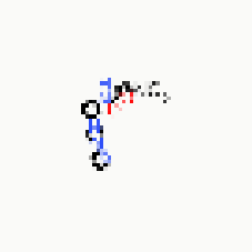 O=C(Nc1cccc(N2CCN(c3ccccn3)CC2)c1)c1ccc([N+](=O)[O-])o1